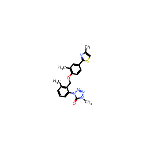 Cc1cc(-c2nc(C#N)cs2)ccc1OCc1c(C)cccc1-n1nnn(C)c1=O